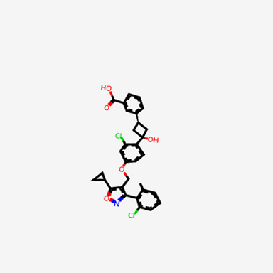 Cc1cccc(Cl)c1-c1noc(C2CC2)c1COc1ccc([C@]2(O)C[C@@H](c3cccc(C(=O)O)c3)C2)c(Cl)c1